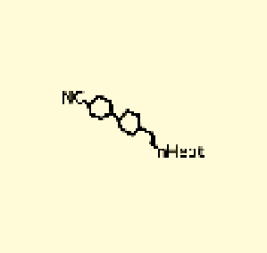 CCCCCCCC=CC1CCC(C2CCC(C#N)CC2)CC1